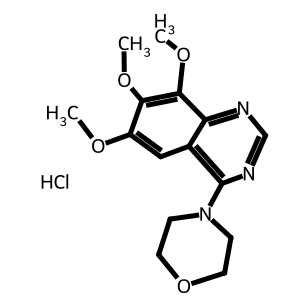 COc1cc2c(N3CCOCC3)ncnc2c(OC)c1OC.Cl